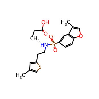 CCC(=O)O.Cc1csc(CCNS(=O)(=O)c2ccc3occ(C)c3c2)c1